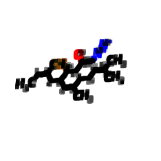 CC=C(C)CC(C=C(C)CCC=C(C)C)C(S)CC(=O)C=[N+]=[N-]